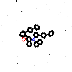 c1ccc(-c2ccc(-c3cccc(N(c4cccc5ccccc45)c4cc5c(oc6cccc(-c7ccc(-c8ccccc8)cc7)c65)c5ccccc45)c3)cc2)cc1